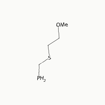 COCCSCP